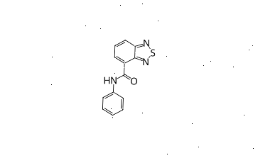 O=C(Nc1cc[c]cc1)c1cccc2nsnc12